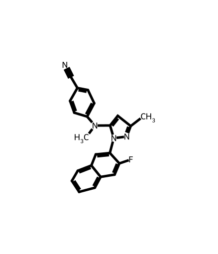 Cc1cc(N(C)c2ccc(C#N)cc2)n(-c2cc3ccccc3cc2F)n1